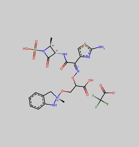 C[C@H]1[C@H](NC(=O)/C(=N\OC(CO[N@@+]2(C)Cc3ccccc3N2)C(=O)O)c2csc(N)n2)C(=O)N1S(=O)(=O)O.O=C([O-])C(F)(F)F